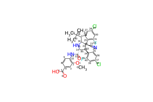 COc1cc(C(=O)O)ccc1NC(=O)[C@@H]1NC(CC(C)(C)C)[C@](C#N)(c2ccc(Cl)cc2F)[C@H]1c1ccc(Cl)cc1F